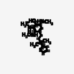 CNc1cc(CC[Si](C)(C)c2cccs2)c(NC)c(NC)c1O